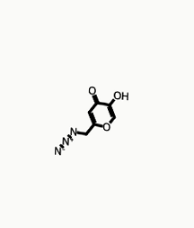 [N-]=[N+]=NCc1cc(=O)c(O)co1